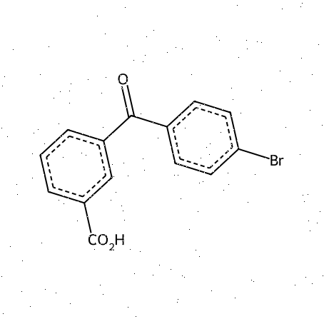 O=C(O)c1cccc(C(=O)c2ccc(Br)cc2)c1